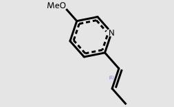 C/C=C/c1ccc(OC)cn1